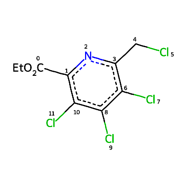 CCOC(=O)c1nc(CCl)c(Cl)c(Cl)c1Cl